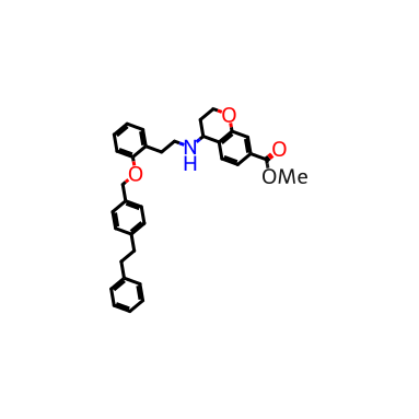 COC(=O)c1ccc2c(c1)OCCC2NCCc1ccccc1OCc1ccc(CCc2ccccc2)cc1